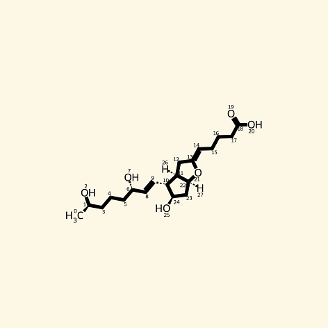 C[C@@H](O)CCC[C@H](O)/C=C/[C@@H]1[C@H]2C/C(=C/CCCC(=O)O)O[C@H]2C[C@H]1O